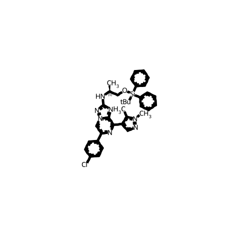 Cc1c(-c2nc(-c3ccc(Cl)cc3)cn3nc(N[C@@H](C)CO[Si](c4ccccc4)(c4ccccc4)C(C)(C)C)nc23)cnn1C